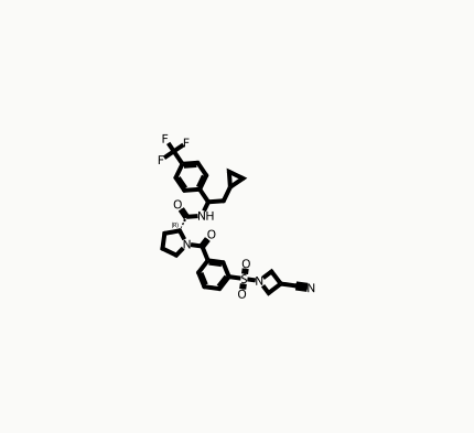 N#CC1CN(S(=O)(=O)c2cccc(C(=O)N3CCC[C@@H]3C(=O)NC(CC3CC3)c3ccc(C(F)(F)F)cc3)c2)C1